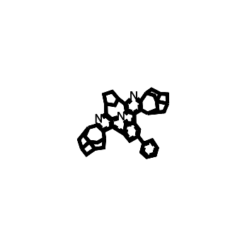 c1ccc(-c2cc3c4c5c(nc6c4n4c7c(nc8c(c7c(c2)c34)C2CC3CC4CC8CC43C2)C2CCC6C2)C2CC3CC4CC5CC34C2)cc1